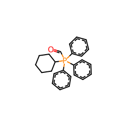 O=CP(c1ccccc1)(c1ccccc1)(c1ccccc1)C1CCCCC1